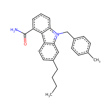 CCCCc1c[c]c2c3c(C(N)=O)cccc3n(Cc3ccc(C)cc3)c2c1